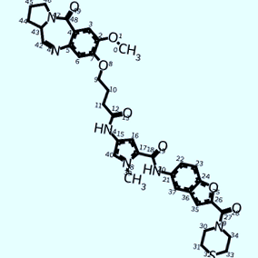 COc1cc2c(cc1OCCCC(=O)Nc1cc(C(=O)Nc3ccc4oc(C(=O)N5CCSCC5)cc4c3)n(C)c1)N=CC1CCCN1C2=O